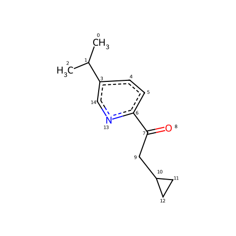 CC(C)c1ccc(C(=O)CC2CC2)nc1